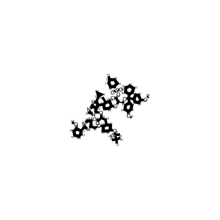 COc1ccc(C(OC[C@H](COS(=O)(=O)c2ccc(C)cc2)Oc2ccc(-c3c(C4CC4)sc4ncnc(OC(Cc5cc(O[Si](C)(C)C(C)(C)C)ccc5OCc5ccnc(-c6ccccc6OC)n5)C(=O)O)c34)c(C)c2Cl)(c2ccccc2)c2ccc(OC)cc2)cc1